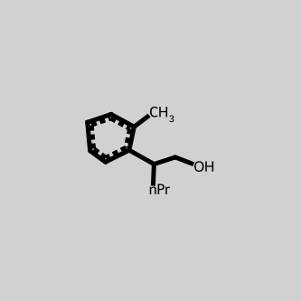 CCCC(CO)c1ccccc1C